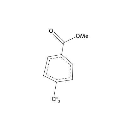 [CH2]OC(=O)c1ccc(C(F)(F)F)cc1